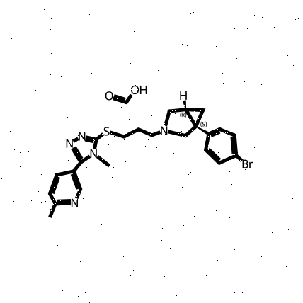 Cc1ccc(-c2nnc(SCCCN3C[C@@H]4C[C@]4(c4ccc(Br)cc4)C3)n2C)cn1.O=CO